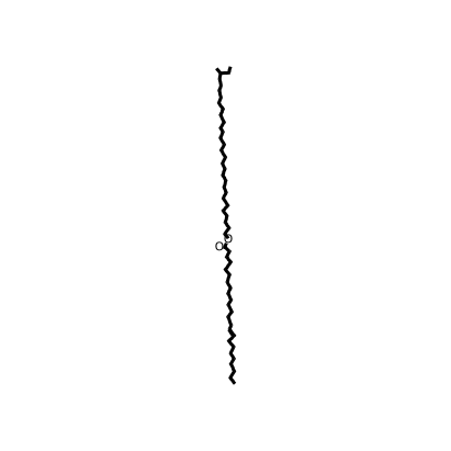 CCCCCCCCC=CCCCCCCCCCCCCCC(=O)OCCCCCCCCCCCCCCCCCCCCCCCCCCCC(C)CC